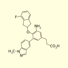 Cn1ncc2cc(-c3cc(CCC(=O)O)cc(N)c3OC3Cc4cccc(F)c4C3)ccc21